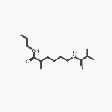 CCCNC(=O)C(C)CCCCNC(=O)C(C)C